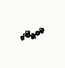 N#Cc1cc(-c2nc(-c3ccc(C4OCCO4)cc3)no2)ccc1OC1CCCC1